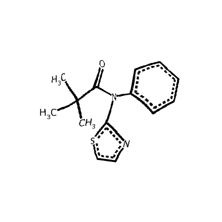 CC(C)(C)C(=O)N(c1ccccc1)c1nccs1